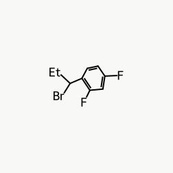 CCC(Br)c1ccc(F)cc1F